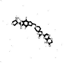 N[C@H]1COC[C@@H]1c1nc2c(F)c3c(c(F)c2[nH]1)CC(CN1CCC2(CC1)CN(c1cnc4c(n1)NC(=O)CO4)C(=O)O2)C3